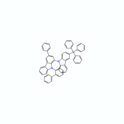 c1ccc(-c2cc(-n3c4ccccc4c4cc([Si](c5ccccc5)(c5ccccc5)c5ccccc5)ccc43)c3c(c2)c2ccccc2n3-c2ccccc2-c2ccccc2)cc1